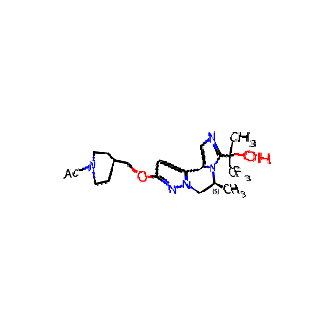 CC(=O)N1CCC(COc2cc3n(n2)C[C@H](C)n2c-3cnc2C(C)(O)C(F)(F)F)CC1